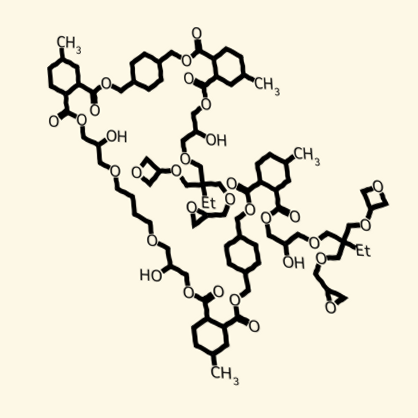 CCC(COCC(O)COC(=O)C1CC(C)CCC1C(=O)OCC1CCC(COC(=O)C2CC(C)CCC2C(=O)OCC(O)COCCCCOCC(O)COC(=O)C2CCC(C)CC2C(=O)OCC2CCC(COC(=O)C3CCC(C)CC3C(=O)OCC(O)COCC(CC)(COCC3CO3)COC3COC3)CC2)CC1)(COCC1CO1)COC1COC1